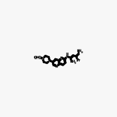 CC(C)C(=C/N)/C=C(\N)Nc1ccc2ncc(N3CCN(C=O)CC3)cc2n1